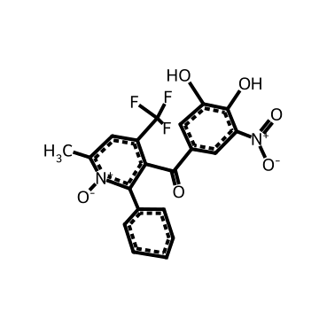 Cc1cc(C(F)(F)F)c(C(=O)c2cc(O)c(O)c([N+](=O)[O-])c2)c(-c2ccccc2)[n+]1[O-]